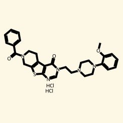 COc1ccccc1N1CCN(CCn2cnc3sc4c(c3c2=O)CCN(C(=O)c2ccccc2)C4)CC1.Cl.Cl